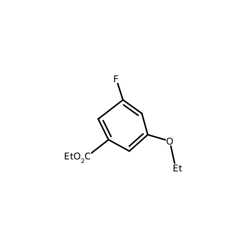 CCOC(=O)c1cc(F)cc(OCC)c1